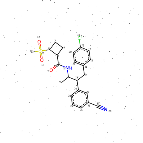 CC(NC(=O)C1CC[C@@H]1S(C)(=O)=O)C(Cc1ccc(Cl)cc1)c1cccc(C#N)c1